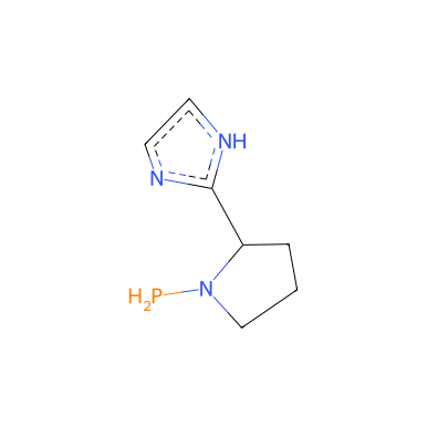 PN1CCCC1c1ncc[nH]1